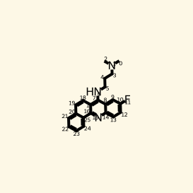 CN(C)CCCNc1c2cc(F)ccc2nc2c1ccc1ccccc12